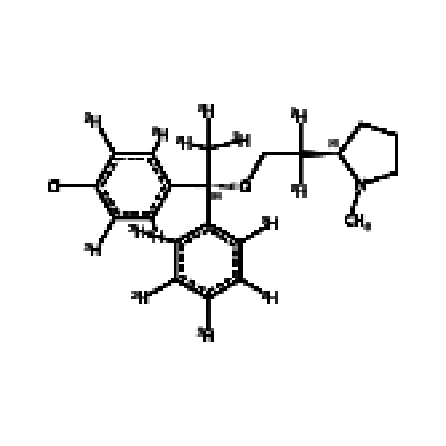 [2H]c1c([2H])c([2H])c([C@@](OCC([2H])([2H])[C@H]2CCCN2C)(c2c([2H])c([2H])c(Cl)c([2H])c2[2H])C([2H])([2H])[2H])c([2H])c1[2H]